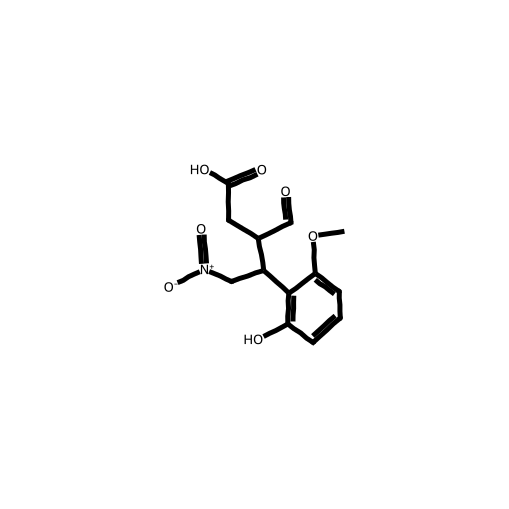 COc1cccc(O)c1C(C[N+](=O)[O-])C(C=O)CC(=O)O